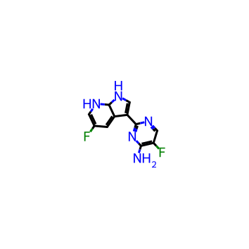 Nc1nc(C2=CNC3NC=C(F)C=C23)ncc1F